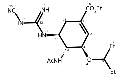 CCOC(=O)C1=C[C@@H](OC(CC)CC)[C@H](NC(C)=O)[C@@H](NC(=N)NC#N)C1